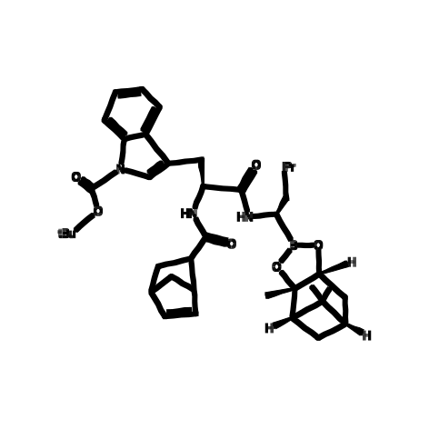 CC(C)C[C@H](NC(=O)[C@H](Cc1cn(C(=O)OC(C)(C)C)c2ccccc12)NC(=O)C1CC2C=CC1C2)B1O[C@@H]2C[C@@H]3C[C@@H](C3(C)C)[C@]2(C)O1